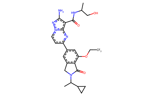 CC(CO)NC(=O)c1c(N)nn2ccc(-c3cc4c(c(OCC(F)(F)F)c3)C(=O)N(C(C)C3CC3)C4)nc12